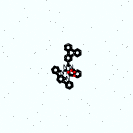 c1ccc(-c2nc(-c3ccc4c5ccccc5c5ccccc5c4c3)nc(-n3c4ccccc4c4ccc5c6ccccc6n(-c6ccccc6)c5c43)n2)cc1